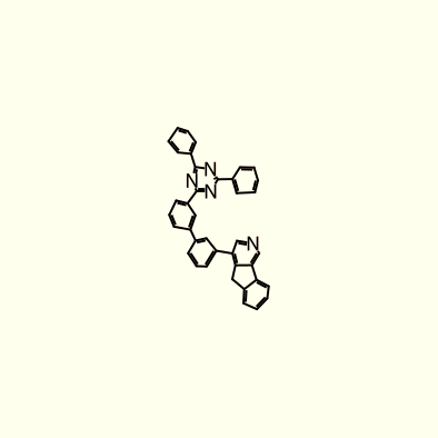 c1ccc(-c2nc(-c3ccccc3)nc(-c3cccc(-c4cccc(-c5cncc6c5Cc5ccccc5-6)c4)c3)n2)cc1